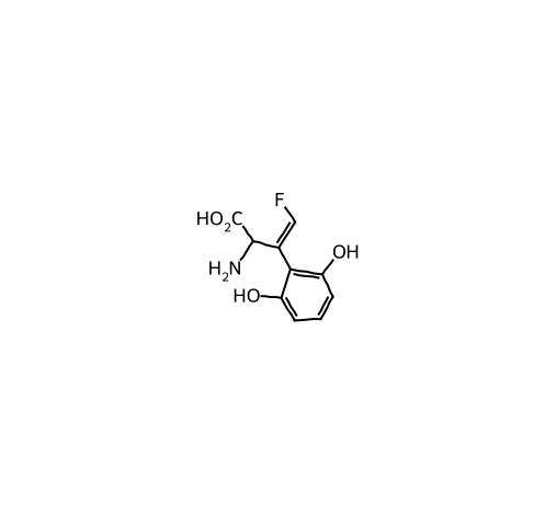 NC(C(=O)O)C(=CF)c1c(O)cccc1O